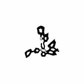 C/C=C(\C=C/Cc1cccc2c1oc1ccccc12)N(c1ccc(-c2ccccc2)cc1)c1cccc2c1sc1c3c(ccc12)C(C)(C)c1ccccc1-3